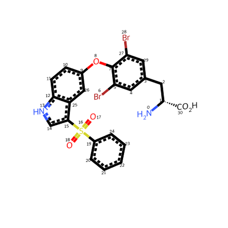 N[C@H](Cc1cc(Br)c(Oc2ccc3[nH]cc(S(=O)(=O)c4ccccc4)c3c2)c(Br)c1)C(=O)O